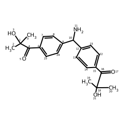 CC(C)(O)C(=O)c1ccc(C(N)c2ccc(C(=O)C(C)(C)O)cc2)cc1